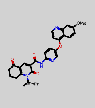 COc1ccc2c(Oc3ccc(NC(=O)c4cc5c(n([C@H](C)C(C)C)c4=O)CCCC5=O)nc3)ccnc2c1